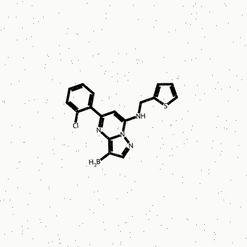 Bc1cnn2c(NCc3cccs3)cc(-c3ccccc3Cl)nc12